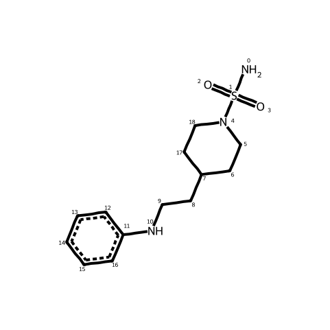 NS(=O)(=O)N1CCC(CCNc2ccccc2)CC1